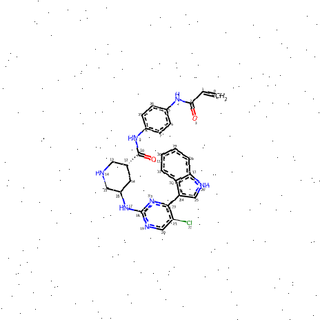 C=CC(=O)Nc1ccc(NC(=O)[C@H]2CNCC(Nc3ncc(Cl)c(-c4c[nH]c5ccccc45)n3)C2)cc1